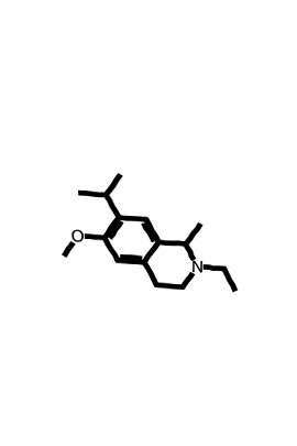 CCN1CCc2cc(OC)c(C(C)C)cc2C1C